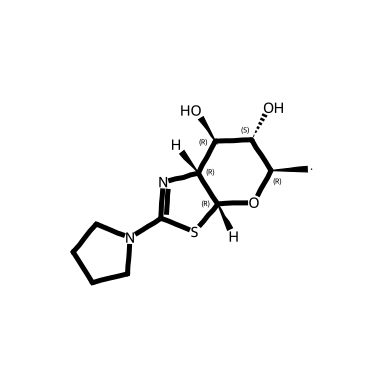 [CH2][C@H]1O[C@@H]2SC(N3CCCC3)=N[C@@H]2[C@@H](O)[C@@H]1O